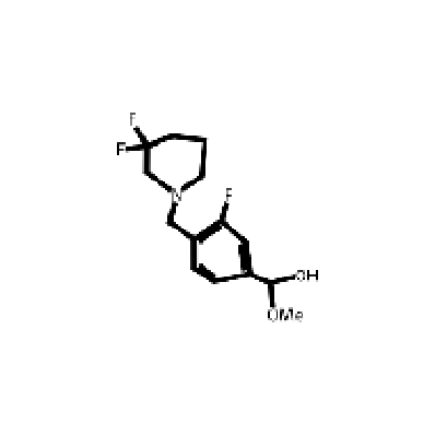 COC(O)c1ccc(CN2CCCC(F)(F)C2)c(F)c1